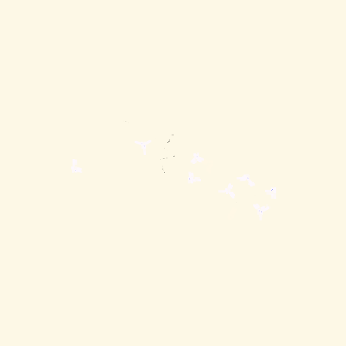 Cn1cnc2ncn(Cc3nc([C@@H]4[C@@H]5CN(c6cccc(-c7ccncc7)c6)C[C@@H]54)no3)c(=O)c21